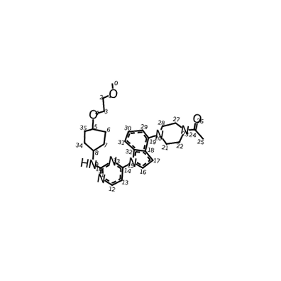 COCCOC1CCC(Nc2nccc(-n3ccc4c(N5CCN(C(C)=O)CC5)cccc43)n2)CC1